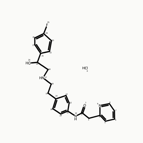 Cl.O=C(Cc1ccccn1)Nc1ccc(CCNCC(O)c2ccc(F)cc2)cc1